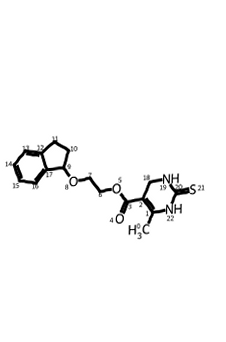 CC1=C(C(=O)OCCOC2CCc3ccccc32)CNC(=S)N1